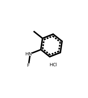 Cc1ccccc1NF.Cl